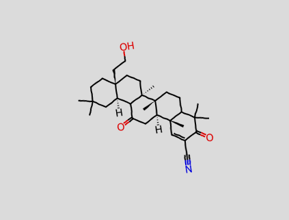 CC1(C)CC[C@]2(CCO)CC[C@]3(C)C(C(=O)C[C@@H]4[C@@]5(C)C=C(C#N)C(=O)C(C)(C)C5CC[C@]43C)[C@H]2C1